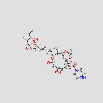 CC[C@H](O)[C@@H](C)[C@H]1O[C@@H]1C[C@@](C)(O)/C=C/C=C(\C)[C@H]1OC(=O)C[C@H](O)CC[C@@](C)(OC(=O)N2CCNCC2)[C@@H](OC(C)=O)/C=C/[C@@H]1C